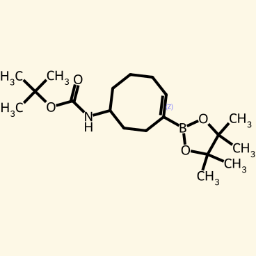 CC(C)(C)OC(=O)NC1CCC/C=C(/B2OC(C)(C)C(C)(C)O2)CC1